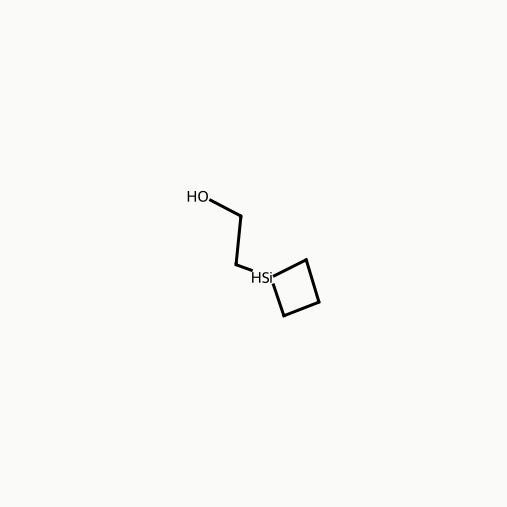 OCC[SiH]1CCC1